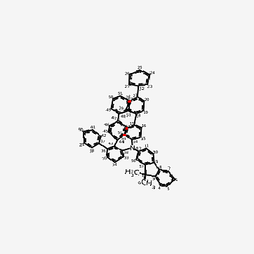 CC1(C)c2ccccc2-c2ccc(N(c3ccc(-c4ccc(-c5ccccc5)cc4)cc3)c3cccc(-c4ccccc4)c3-c3ccc(-c4ccccc4)cc3)cc21